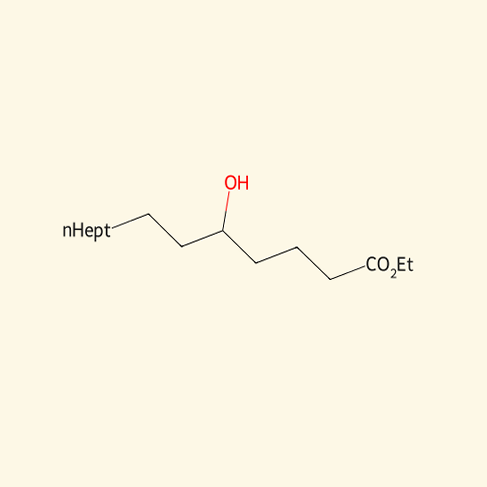 CCCCCCCCCC(O)CCCC(=O)OCC